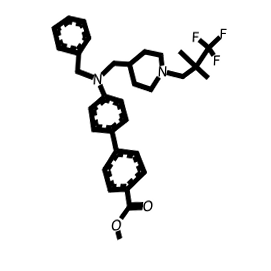 COC(=O)c1ccc(-c2ccc(N(Cc3ccccc3)CC3CCN(CC(C)(C)C(F)(F)F)CC3)cc2)cc1